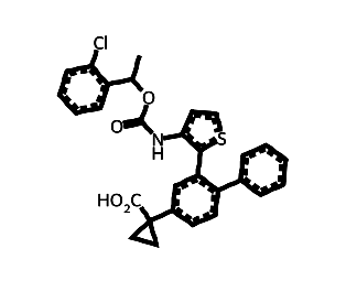 CC(OC(=O)Nc1ccsc1-c1cc(C2(C(=O)O)CC2)ccc1-c1ccccc1)c1ccccc1Cl